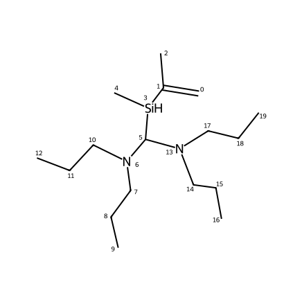 C=C(C)[SiH](C)C(N(CCC)CCC)N(CCC)CCC